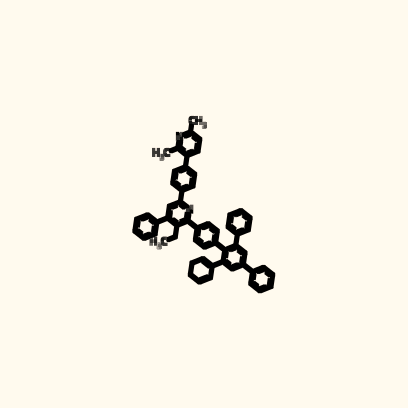 CCc1c(-c2ccccc2)cc(-c2ccc(-c3ccc(C)nc3C)cc2)nc1-c1ccc(-c2c(C3=CCCC=C3)cc(-c3ccccc3)cc2-c2ccccc2)cc1